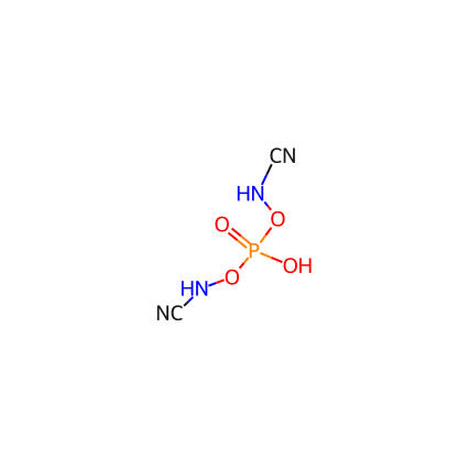 N#CNOP(=O)(O)ONC#N